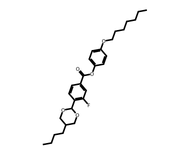 CCCCCCCOc1ccc(OC(=O)c2ccc(C3OCC(CCCC)CO3)c(F)c2)cc1